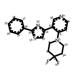 FC1(F)CCN(c2ccncc2-c2csc(-c3ccccc3)n2)CC1